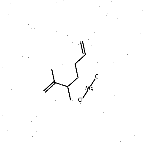 [CH2]C(CCC=C)C(=C)C.[Cl][Mg][Cl]